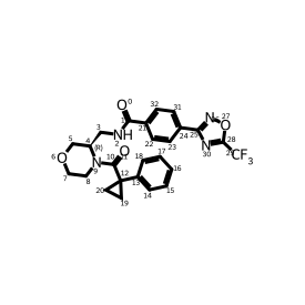 O=C(NC[C@@H]1COCCN1C(=O)C1(c2ccccc2)CC1)c1ccc(-c2noc(C(F)(F)F)n2)cc1